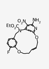 CCOC(=O)N1Cc2ccc(F)c(c2)OCC/C=C/COc2cc1c([N+](=O)[O-])c(N)n2